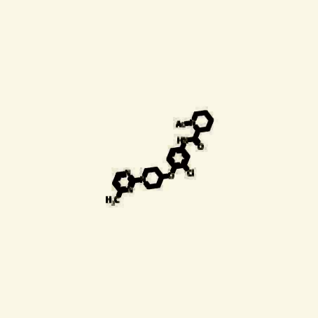 CC(=O)N1CCCCC1C(=O)Nc1ccc(OC2CCN(c3nccc(C)n3)CC2)c(Cl)c1